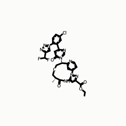 CCOC(=O)c1cc2n(n1)-c1ccnc(c1)[C@@H](n1cnc(-c3cc(Cl)ccc3-n3cc(C(F)F)nn3)cc1=O)CCC[C@@H](C)C(=O)N2